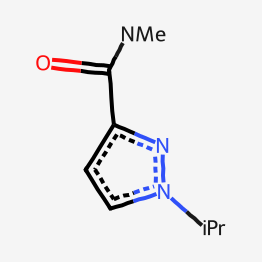 CNC(=O)c1ccn(C(C)C)n1